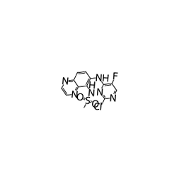 CS(=O)(=O)Nc1c(Nc2nc(Cl)ncc2F)ccc2nccnc12